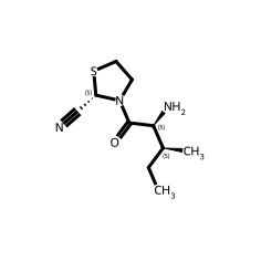 CC[C@H](C)[C@H](N)C(=O)N1CCS[C@H]1C#N